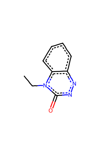 CCn1c(=O)nnc2ccccc21